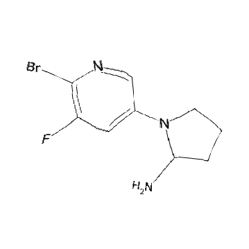 NC1CCCN1c1cnc(Br)c(F)c1